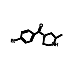 CCc1ccc(C(=O)N2CCNC(C)C2)cc1